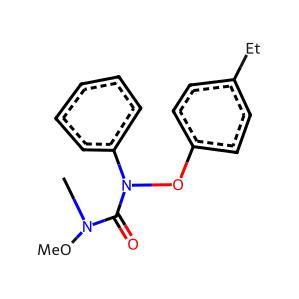 CCc1ccc(ON(C(=O)N(C)OC)c2ccccc2)cc1